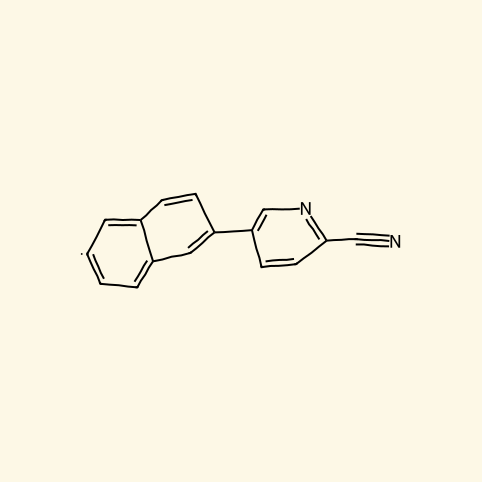 N#Cc1ccc(-c2ccc3c[c]ccc3c2)cn1